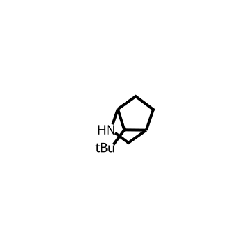 CC(C)(C)C1C2CCC1NC2